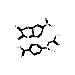 CN(CC(=O)O)c1ccc(C(=O)O)cc1.O=C1N=c2ccc([N+](=O)[O-])cc2=NC1=O